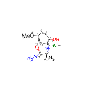 COc1ccc(O)c(N[C@@H](C)C(N)=O)c1.Cl